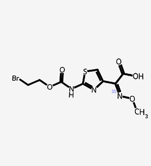 CO/N=C(\C(=O)O)c1csc(NC(=O)OCCBr)n1